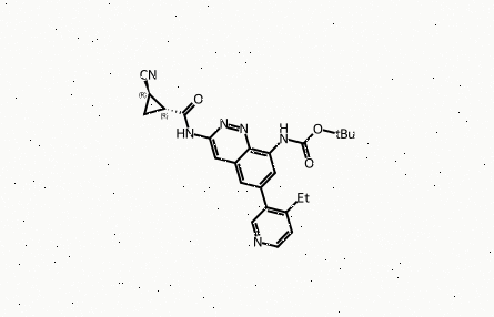 CCc1ccncc1-c1cc(NC(=O)OC(C)(C)C)c2nnc(NC(=O)[C@@H]3C[C@H]3C#N)cc2c1